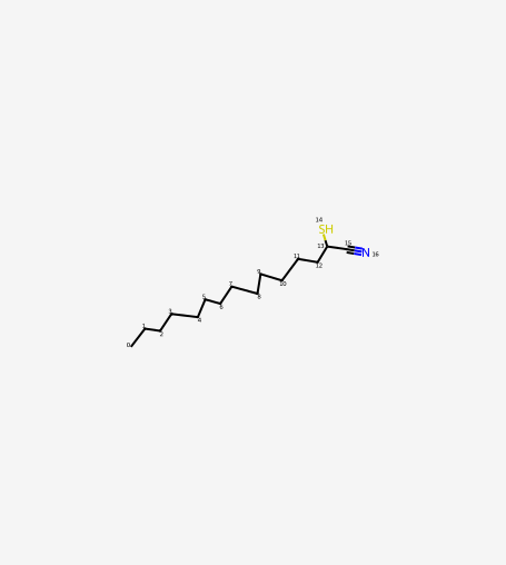 CCCCCCCCCCCCCC(S)C#N